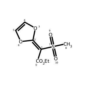 CCOC(=O)C(=C1OC=CO1)S(C)(=O)=O